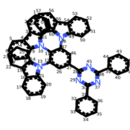 c1ccc2c3ccccc3n(-c3c(-n4c5c(c6ccccc64)C=CCC5)cc(-c4nc(-c5ccccc5)nc(-c5ccccc5)n4)cc3-n3c4ccccc4c4ccccc43)c2c#1